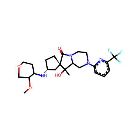 COC1COCCC1N[C@@H]1CC[C@@]2(C1)C(=O)N1CCN(c3cccc(C(F)(F)F)n3)CC1C2(C)O